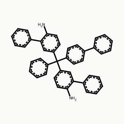 Nc1ccc(C(c2ccccc2)(c2ccc(-c3ccccc3)cc2)c2ccc(N)c(-c3ccccc3)c2)cc1-c1ccccc1